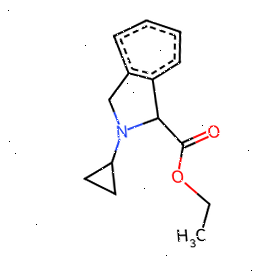 CCOC(=O)C1c2ccccc2CN1C1CC1